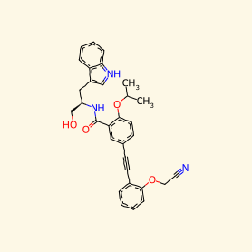 CC(C)Oc1ccc(C#Cc2ccccc2OCC#N)cc1C(=O)N[C@@H](CO)Cc1c[nH]c2ccccc12